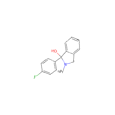 CCCN1Cc2ccccc2C1(O)c1ccc(F)cc1